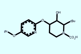 CC(C)Oc1ccc(OC2CCN(C(=O)O)C(C(C)(C)C)C2O)nc1